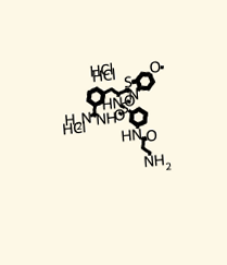 COc1ccc2nc(C(Cc3cccc(C(=N)N)c3)NS(=O)(=O)c3cccc(NC(=O)CCN)c3)sc2c1.Cl.Cl.Cl